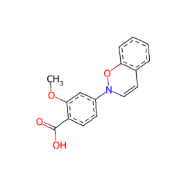 COc1cc(N2C=Cc3ccccc3O2)ccc1C(=O)O